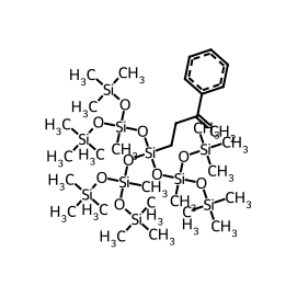 C=C(CC[Si](O[Si](C)(O[Si](C)(C)C)O[Si](C)(C)C)(O[Si](C)(O[Si](C)(C)C)O[Si](C)(C)C)O[Si](C)(O[Si](C)(C)C)O[Si](C)(C)C)c1ccccc1